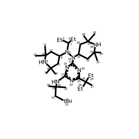 CCC(CC)N(C1CC(C)(C)NC(C)(C)C1)N(c1nc(NC(C)(C)CC(C)(C)C)nc(C(C)(CC)CC)n1)C1CC(C)(C)NC(C)(C)C1